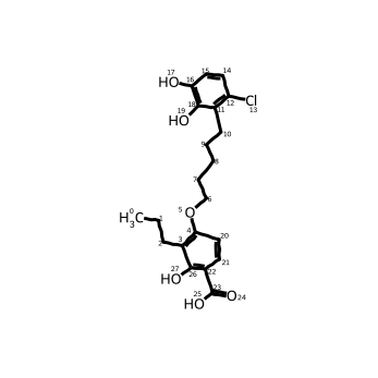 CCCc1c(OCCCCCc2c(Cl)ccc(O)c2O)ccc(C(=O)O)c1O